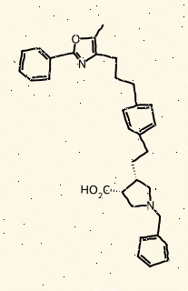 Cc1oc(-c2ccccc2)nc1CCCc1ccc(CC[C@@H]2CN(Cc3ccccc3)C[C@@H]2C(=O)O)cc1